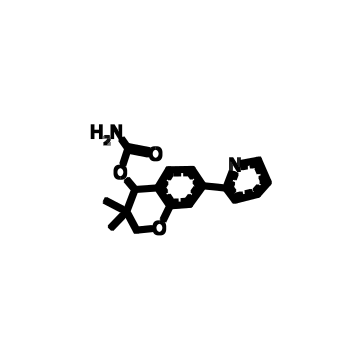 CC1(C)COc2cc(-c3ccccn3)ccc2C1OC(N)=O